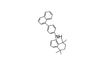 CC1(C)CCC(C)(C)c2c(Nc3ccc(-c4cccc5ccccc45)cc3)cccc21